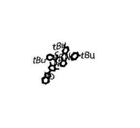 Cc1cc(-c2cc3ccccc3o2)cc(C)c1N1c2cccc3c2B(c2cc(C(C)(C)C)ccc2N3c2ccc(C(C)(C)C)cc2)c2sc3ccc(C(C)(C)C)cc3c21